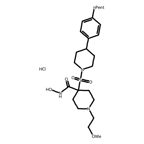 CCCCCc1ccc(C2CCN(S(=O)(=O)C3(C(=O)NO)CCN(CCOC)CC3)CC2)cc1.Cl